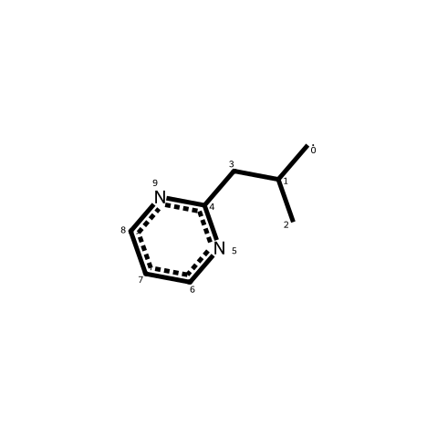 [CH2]C(C)Cc1ncccn1